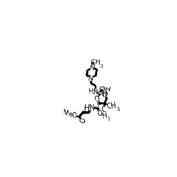 COC(=O)CCNC(=O)[C@@H]1O[PH](O)(NCCN2CCN(C)CC2)OCC1(C)C